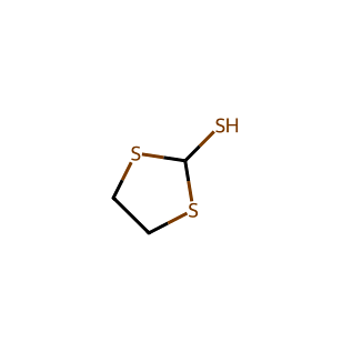 SC1SCCS1